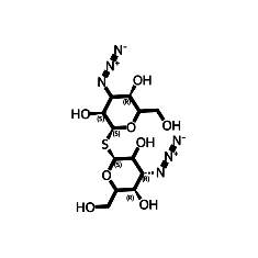 [N-]=[N+]=NC1[C@@H](O)C(CO)O[C@@H](S[C@@H]2OC(CO)[C@H](O)[C@@H](N=[N+]=[N-])C2O)[C@H]1O